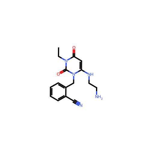 CCn1c(=O)cc(NCCN)n(Cc2ccccc2C#N)c1=O